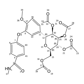 CNC(=O)c1ccc(Oc2cc([C@H]3O[C@H](COC(C)=O)[C@@H](OC(C)=O)[C@H](OC(C)=O)[C@@H]3OC(C)=O)ccc2OC)cc1